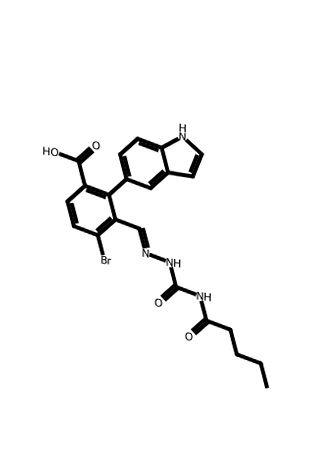 CCCCC(=O)NC(=O)NN=Cc1c(Br)ccc(C(=O)O)c1-c1ccc2[nH]ccc2c1